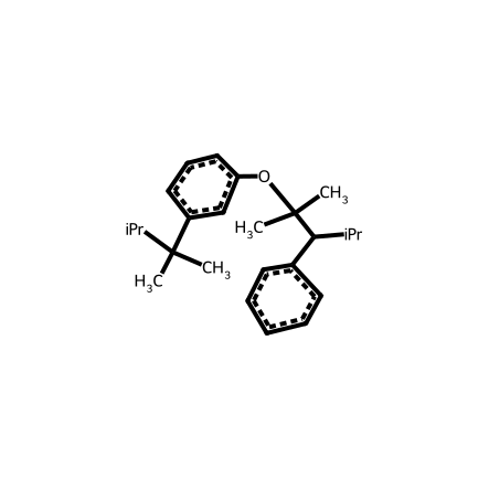 CC(C)C(c1ccccc1)C(C)(C)Oc1cccc(C(C)(C)C(C)C)c1